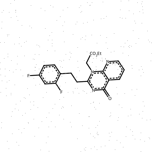 CCOC(=O)Cn1c(CCc2ccc(F)cc2F)nc(=O)c2cccnc21